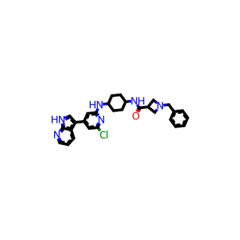 O=C(NC1CCC(Nc2cc(-c3c[nH]c4ncccc34)cc(Cl)n2)CC1)C1CN(Cc2ccccc2)C1